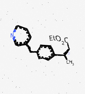 CCOC(=O)/C=C(/C)c1ccc(Cc2cccnc2)cc1